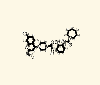 Nc1cc(N2CCN(C(=O)N[C@H]3C=CC=C(NC(=O)N4CCCCCC4)C3=O)CC2)c2ccc(Cl)cc2n1